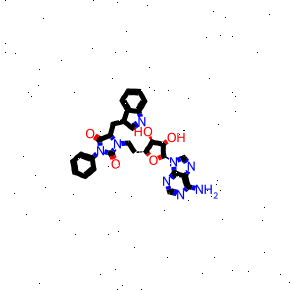 Nc1ncnc2c1ncn2[C@@H]1O[C@H](CCN2C(=O)N(c3ccccc3)C(=O)C2CC2C=Nc3ccccc32)[C@@H](O)C1O